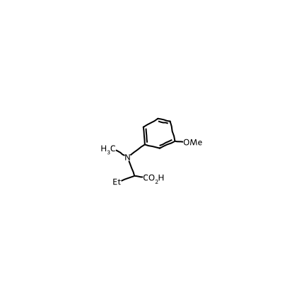 CCC(C(=O)O)N(C)c1cccc(OC)c1